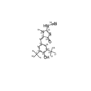 CN1C(=Cc2cc(C(C)(C)C)c(O)c(C(C)(C)C)c2)C(=O)N=C1NC#N